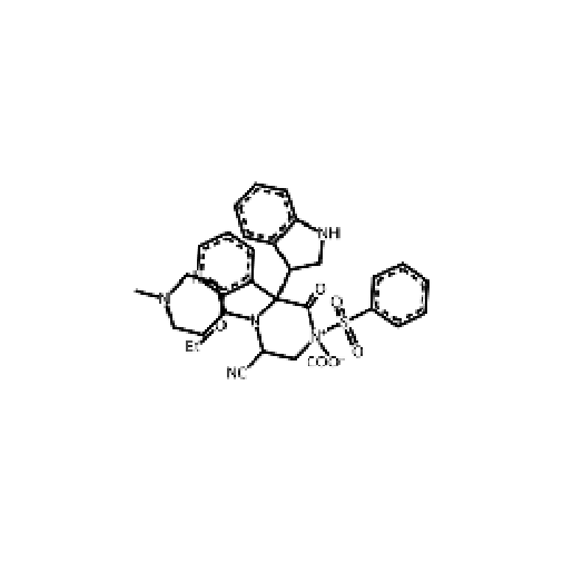 CCOc1ncccc1C1(C2CNc3ccccc32)C(=O)[N+](C(=O)[O-])(S(=O)(=O)c2ccccc2)CC(C#N)N1C1CCN(C)CC1